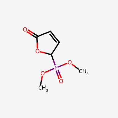 COP(=O)(OC)C1C=CC(=O)O1